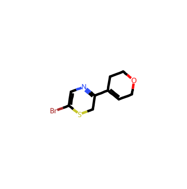 BrC1=CN=C(C2=CCOCC2)CS1